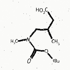 CC(CC(=O)O)CN(C)C(=O)OC(C)(C)C